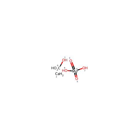 O=C(O)O.[CaH2].[O]=[Mo](=[O])([OH])[OH]